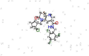 O=C(NCc1c(F)cc(F)cc1F)c1cnc2c(c1)N(CC1C=CC=C1Cl)C(=O)CS2